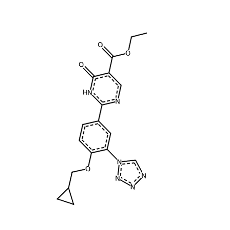 CCOC(=O)c1cnc(-c2ccc(OCC3CC3)c(-n3cnnn3)c2)[nH]c1=O